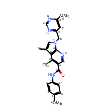 COc1ccc(NC(=O)c2cnc3c(c(C)cn3Cc3cc(OC)ncn3)c2Cl)cc1